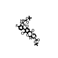 CC(C)(C)OC(=O)Nc1nc2c(-c3c(Cl)cc4c(c3Cl)OC[C@@H]3CN(C(=O)OC(C)(C)C)CCN3C4=O)ccc(F)c2s1